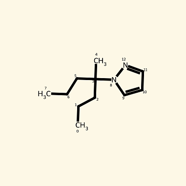 CCCC(C)(CCC)n1cccn1